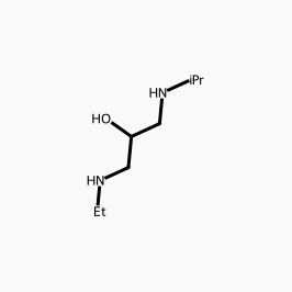 CCNCC(O)CNC(C)C